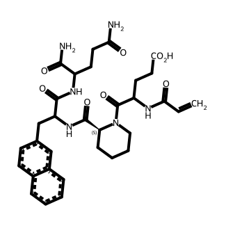 C=CC(=O)NC(CCC(=O)O)C(=O)N1CCCC[C@H]1C(=O)NC(Cc1ccc2ccccc2c1)C(=O)NC(CCC(N)=O)C(N)=O